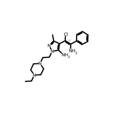 CCN1CCN(CCn2nc(C)c(/C(Cl)=C(\N)c3ccccc3)c2N)CC1